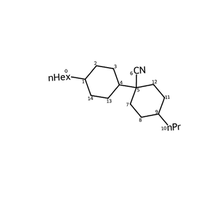 CCCCCCC1CCC(C2(C#N)CCC(CCC)CC2)CC1